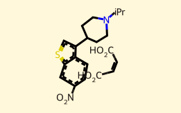 CC(C)N1CCC(c2csc3cc([N+](=O)[O-])ccc23)CC1.O=C(O)/C=C\C(=O)O